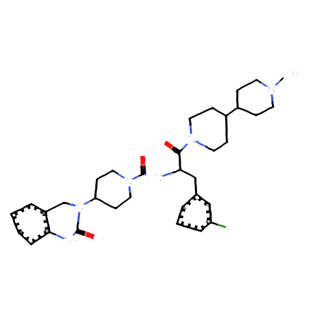 CN1CCC(C2CCN(C(=O)C(Cc3cccc(Cl)c3)NC(=O)N3CCC(N4Cc5ccccc5NC4=O)CC3)CC2)CC1